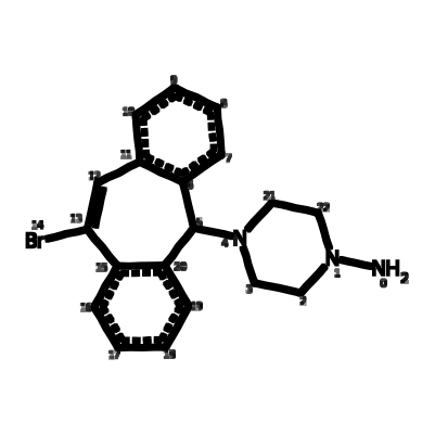 NN1CCN(C2c3ccccc3C=C(Br)c3ccccc32)CC1